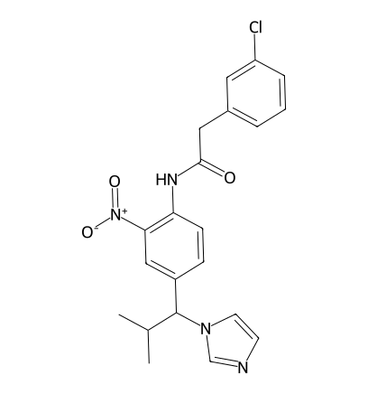 CC(C)C(c1ccc(NC(=O)Cc2cccc(Cl)c2)c([N+](=O)[O-])c1)n1ccnc1